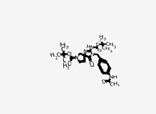 CC(=O)Nc1ccc(CN2C(=O)C3(CCN(C(=O)OC(C)(C)C)C3)N=C2NC(=O)OC(C)(C)C)cc1